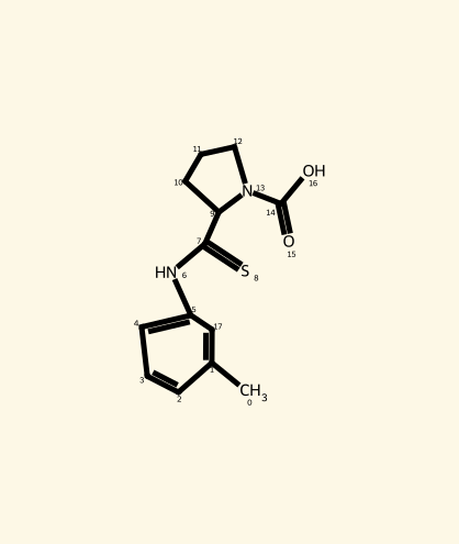 Cc1cccc(NC(=S)C2CCCN2C(=O)O)c1